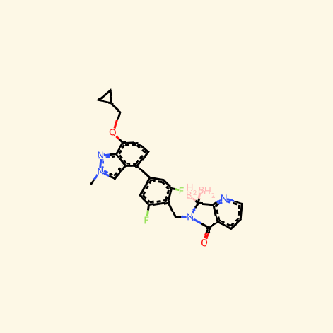 BC1(B)c2ncccc2C(=O)N1Cc1c(F)cc(-c2ccc(OCC3CC3)c3nn(C)cc23)cc1F